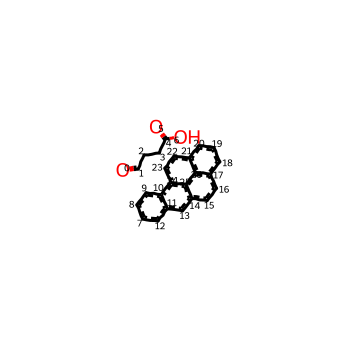 O=CCCC(=O)O.c1ccc2c(c1)cc1ccc3cccc4ccc2c1c34